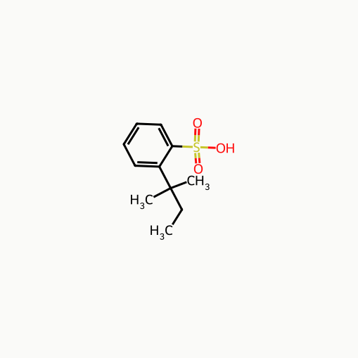 CCC(C)(C)c1ccccc1S(=O)(=O)O